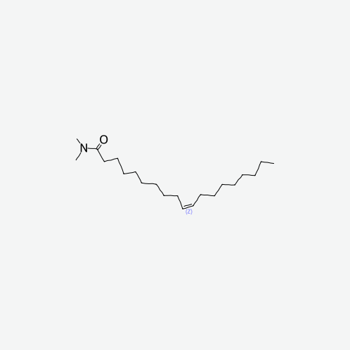 CCCCCCCC/C=C\CCCCCCCCC(=O)N(C)C